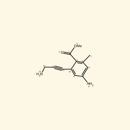 COC(=O)c1c(C)cc(N)cc1C#CCN